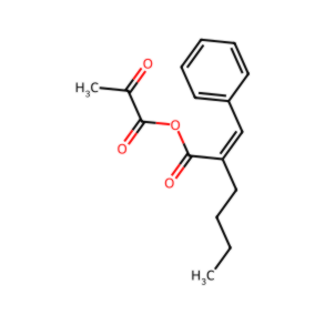 CCCCC(=Cc1ccccc1)C(=O)OC(=O)C(C)=O